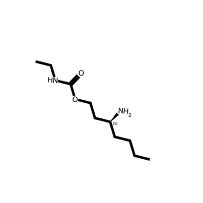 CCCC[C@H](N)CCOC(=O)NCC